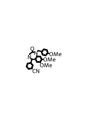 COc1ccc(CN2C(=O)CN=C(c3cccc(C#N)c3)c3cc(OC)c(OC)cc32)cc1